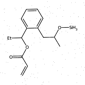 C=CC(=O)OC(CC)c1ccccc1CC(C)O[SiH3]